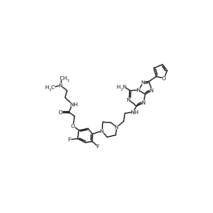 CN(C)CCNC(=O)COc1cc(N2CCN(CCNc3nc(N)n4nc(-c5ccco5)nc4n3)CC2)c(F)cc1F